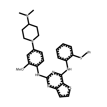 COc1cc(N2CCC(N(C)C)CC2)ccc1Nc1nc(Nc2ccccc2SC(C)C)c2sccc2n1